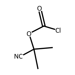 CC(C)(C#N)OC(=O)Cl